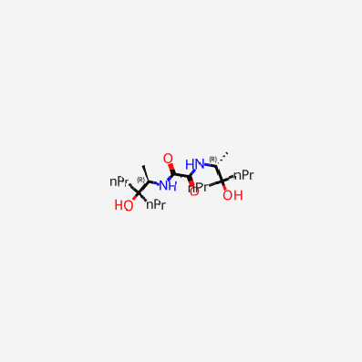 CCCC(O)(CCC)[C@@H](C)NC(=O)C(=O)N[C@H](C)C(O)(CCC)CCC